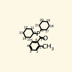 Cc1ccccc1C(=O)P(C1CCCCC1)C1CCCCC1